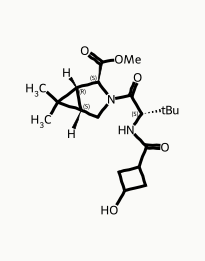 COC(=O)[C@@H]1[C@@H]2[C@H](CN1C(=O)[C@@H](NC(=O)C1CC(O)C1)C(C)(C)C)C2(C)C